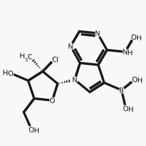 C[C@@]1(Cl)C(O)C(CO)O[C@H]1n1cc(B(O)O)c2c(NO)ncnc21